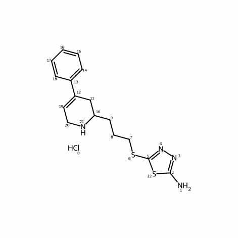 Cl.Nc1nnc(SCCCC2CC(c3ccccc3)=CCN2)s1